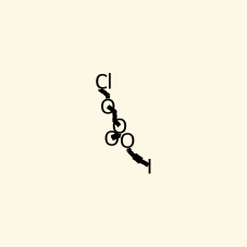 O=C(OCC#CI)OCCOCCCl